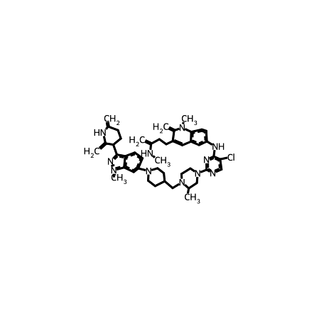 C=C(CCC1=Cc2cc(Nc3nc(N4CCN(CC5CCN(c6ccc7c(C8CCC(=C)NC8=C)nn(C)c7c6)CC5)C(C)C4)ncc3Cl)ccc2N(C)C1=C)NC